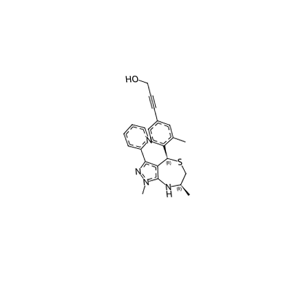 Cc1cc(C#CCO)ccc1[C@H]1SC[C@@H](C)Nc2c1c(-c1ccccn1)nn2C